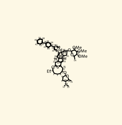 CC[C@H]1CCC[C@H](O[C@H]2CC[C@H](N(C)C)C(C)O2)[C@@H](C)C2=S=C(C[C@@H]3C2=C[C@@H]2[C@H]3C=C(n3cc(-c4ccc(-c5ccccc5)cc4)nn3)[C@@H]3C[C@@H](O[C@@H]4OC(C)[C@H](OC)C(OC)C4OC)C[C@@H]23)O1